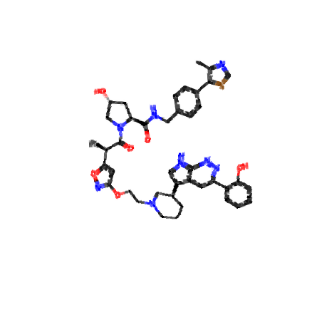 Cc1ncsc1-c1ccc(CNC(=O)[C@@H]2C[C@@H](O)CN2C(=O)[C@@H](c2cc(OCCN3CCC[C@H](c4c[nH]c5nnc(-c6ccccc6O)cc45)C3)no2)C(C)C)cc1